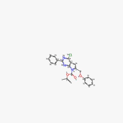 C=C(C)OC(=O)n1c(COc2ccccc2)cc2c(Cl)nc(-c3ccccc3)nc21